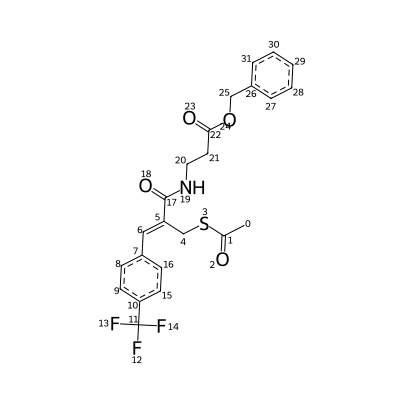 CC(=O)SCC(=Cc1ccc(C(F)(F)F)cc1)C(=O)NCCC(=O)OCc1ccccc1